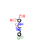 Cc1c(C(=O)Nc2ccc(CO)c(CO)c2)nnn1Cc1ccc(Cl)c(Cl)c1